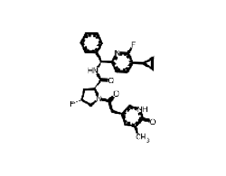 Cc1cc(CC(=O)N2C[C@H](F)C[C@H]2C(=O)N[C@@H](c2ccccc2)c2ccc(C3CC3)c(F)n2)c[nH]c1=O